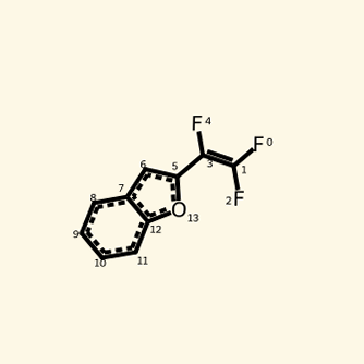 FC(F)=C(F)c1cc2ccccc2o1